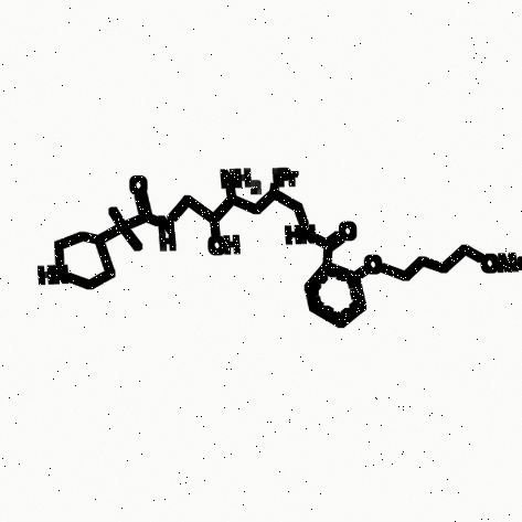 COCCCCOc1ccccc1C(=O)NCC(CC(N)C(O)CNC(=O)C(C)(C)C1CCNCC1)C(C)C